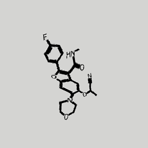 CNC(=O)c1c(-c2ccc(F)cc2)oc2cc(N3CCOCC3)c(OC(C)C#N)cc12